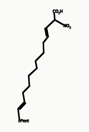 CCCCCC=CCCCCCCCC=CC(C(=O)O)[N+](=O)[O-]